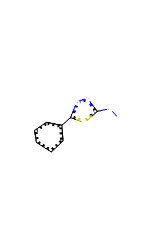 CC(C)(C)Nc1nnc(-c2ccccc2)s1